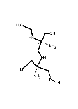 CCN[C@@](N)(CS)CN[C@](N)(CS)CNC